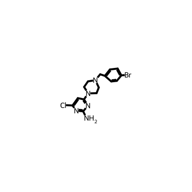 Nc1nc(Cl)cc(N2CCN(Cc3ccc(Br)cc3)CC2)n1